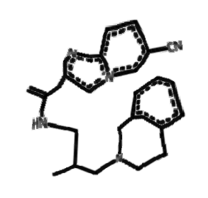 C=C(NCC(C)CN1CCc2ccccc2C1)c1cn2cc(C#N)ccc2n1